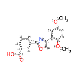 COc1ccc(OC)c(-c2coc(-c3cccc(C(=O)O)c3)n2)c1